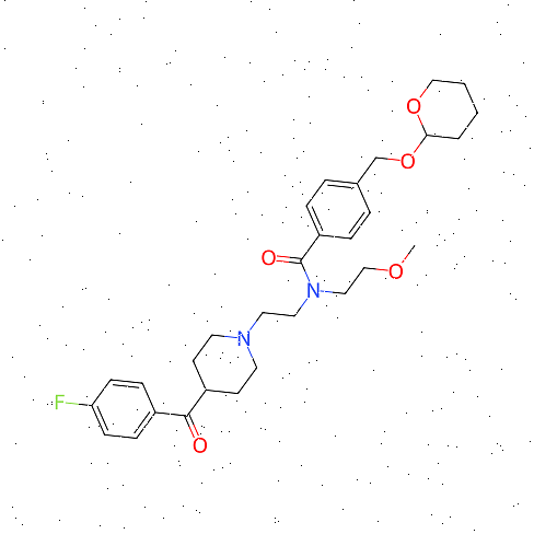 COCCN(CCN1CCC(C(=O)c2ccc(F)cc2)CC1)C(=O)c1ccc(COC2CCCCO2)cc1